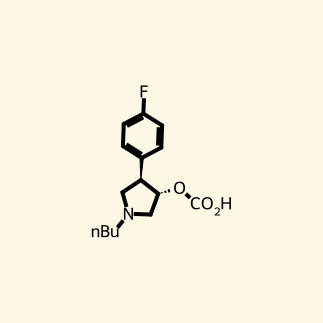 CCCCN1C[C@@H](OC(=O)O)[C@H](c2ccc(F)cc2)C1